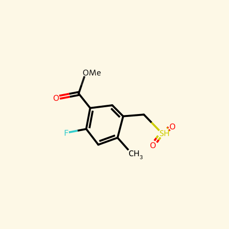 COC(=O)c1cc(C[SH](=O)=O)c(C)cc1F